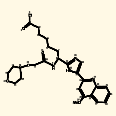 CCC(=O)CCCCC[C@H](NC(=O)CCN1CCOCC1)c1ncc(-c2cc(OC)c3ccccc3n2)[nH]1